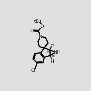 CC(C)(C)OC(=O)N1CCC2(CC1)c1ccc(Cl)cc1[C@H]1N[C@H]12